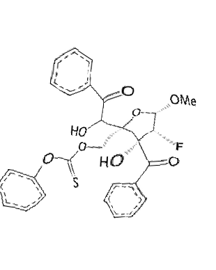 CO[C@H]1O[C@](COC(=S)Oc2ccccc2)(C(O)C(=O)c2ccccc2)[C@](O)(C(=O)c2ccccc2)[C@H]1F